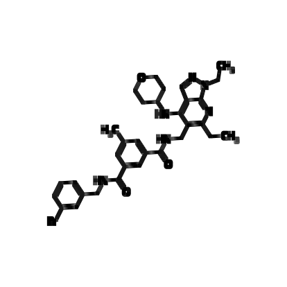 CCc1nc2c(cnn2CC)c(NC2CCOCC2)c1CNC(=O)c1cc(C)cc(C(=O)NCc2cccc(Br)c2)c1